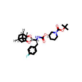 CC(C)(C)OC(=O)N1CCC[C@H](OC(=O)N[C@@H](Cc2ccc(F)cc2)B2OC3C[C@@H]4C[C@@H](C4(C)C)[C@]3(C)O2)C1